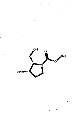 CCC[C@@H]1CCN(C(=O)OC(C)(C)C)[C@@H]1CO